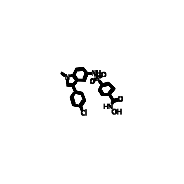 Cn1cc(-c2ccc(Cl)cc2)c2cc(NS(=O)(=O)c3ccc(C(=O)NO)cc3)ccc21